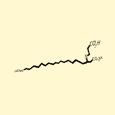 CCCCCCCCCCCCCCCCCCCCCCCCCCC(CC(=O)O)SCCC(=O)O